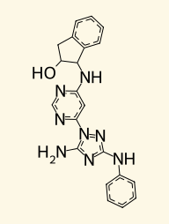 Nc1nc(Nc2ccccc2)nn1-c1cc(NC2c3ccccc3CC2O)ncn1